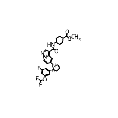 COC(=O)C1CCC(NC(=O)c2cnn3ccc(N4CCC[C@@H]4c4cc(F)cc(OC(F)F)c4)cc23)CC1